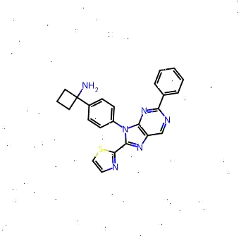 NC1(c2ccc(-n3c(-c4nccs4)nc4cnc(-c5ccccc5)nc43)cc2)CCC1